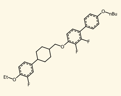 CCCCOc1ccc(-c2ccc(OCC3CCC(c4ccc(OCC)c(F)c4)CC3)c(F)c2F)cc1